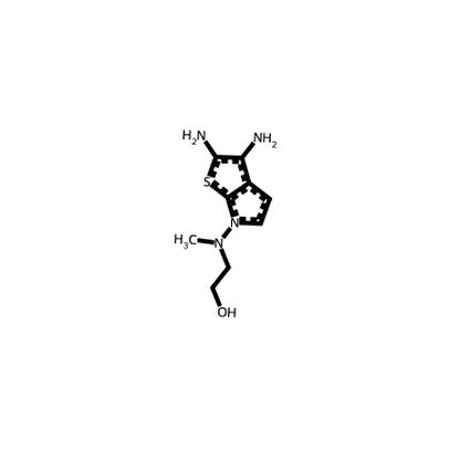 CN(CCO)n1ccc2c(N)c(N)sc21